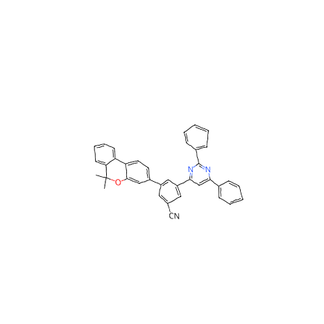 CC1(C)Oc2cc(-c3cc(C#N)cc(-c4cc(-c5ccccc5)nc(-c5ccccc5)n4)c3)ccc2-c2ccccc21